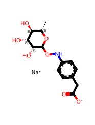 C[C@@H]1OC(ONc2ccc(CC(=O)[O-])cc2)[C@H](O)[C@H](O)[C@H]1O.[Na+]